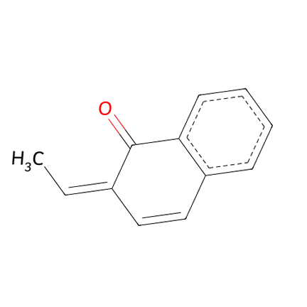 CC=C1C=Cc2ccccc2C1=O